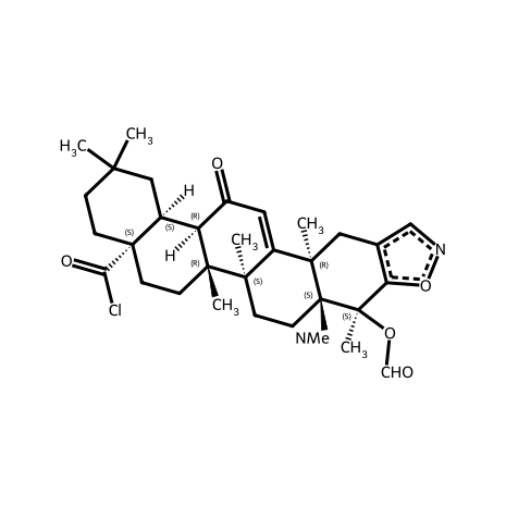 CN[C@@]12CC[C@]3(C)C(=CC(=O)[C@@H]4[C@@H]5CC(C)(C)CC[C@]5(C(=O)Cl)CC[C@]43C)[C@@]1(C)Cc1cnoc1[C@@]2(C)OC=O